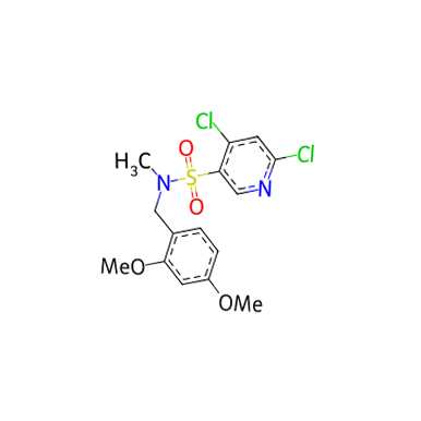 COc1ccc(CN(C)S(=O)(=O)c2cnc(Cl)cc2Cl)c(OC)c1